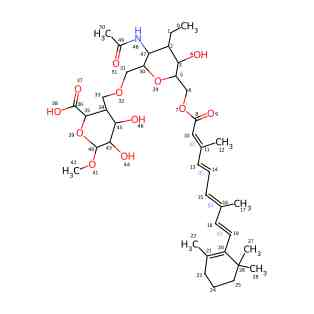 CCC1C(O)C(COC(=O)/C=C(C)/C=C/C=C(C)/C=C/C2=C(C)CCCC2(C)C)OC(COCC2C(C(=O)O)OC(OC)C(O)C2O)C1NC(C)=O